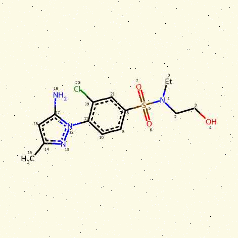 CCN(CCO)S(=O)(=O)c1ccc(-n2nc(C)cc2N)c(Cl)c1